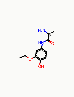 CCOc1cc(NC(=O)[C@H](C)N)ccc1O